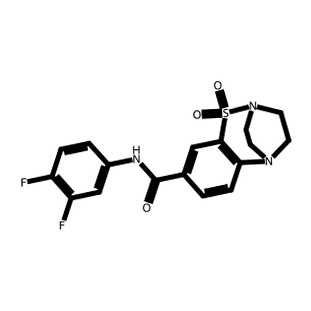 O=C(Nc1ccc(F)c(F)c1)c1ccc2c(c1)S(=O)(=O)N1CCN2CC1